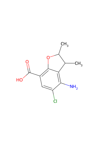 CC1Oc2c(C(=O)O)cc(Cl)c(N)c2C1C